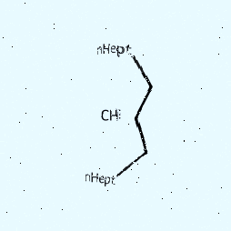 CCCCCCCCCCCCCCCCC.[CH]